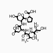 CC(C)[C@H](NC(=O)[C@@H](N)CO)C(=O)N[C@@H](CC(=O)O)C(=O)N[C@@H](CC(=O)O)C(=O)N1CCC[C@H]1C(=O)O